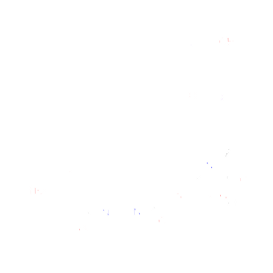 COC(=O)[C@H](Cc1cc(I)c(Oc2cc(I)c(O)c(I)c2)c(I)c1)NC(=O)COCC(=O)N1CCN(C(=O)CCC(=O)O)CC1